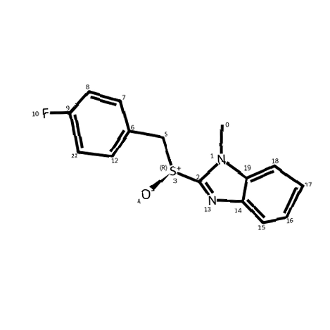 Cn1c([S@@+]([O-])Cc2ccc(F)cc2)nc2ccccc21